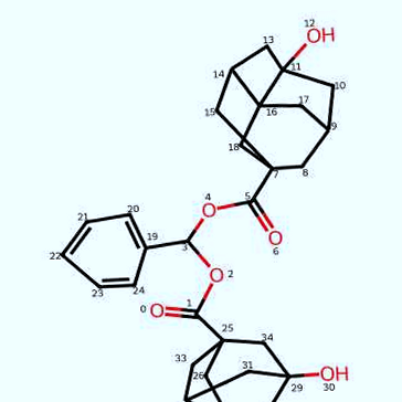 O=C(OC(OC(=O)C12CC3CC4(O)CC(C1)C4(C3)C2)c1ccccc1)C12CC3CC(O)(CC3C1)C2